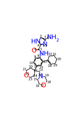 Nc1c[nH]c(C(=O)Nc2ccc(C3(CN4CCOCC4)CCOCC3)cc2C2=CCCCC2)n1